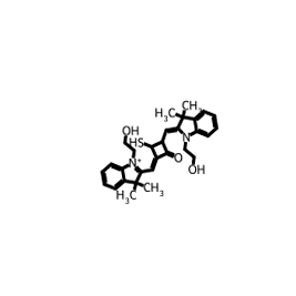 CC1(C)C(/C=C2/C(=O)C(/C=C3\N(CCO)c4ccccc4C3(C)C)C2S)=[N+](CCO)c2ccccc21